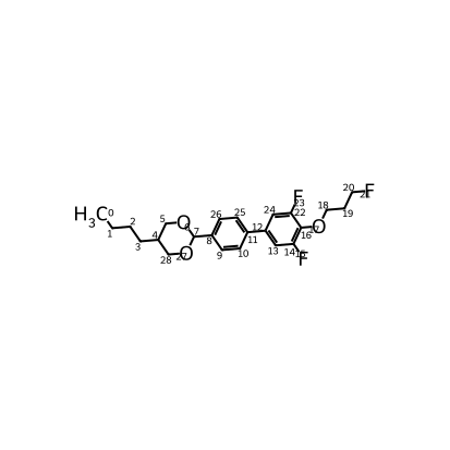 CCCCC1COC(c2ccc(-c3cc(F)c(OCCCF)c(F)c3)cc2)OC1